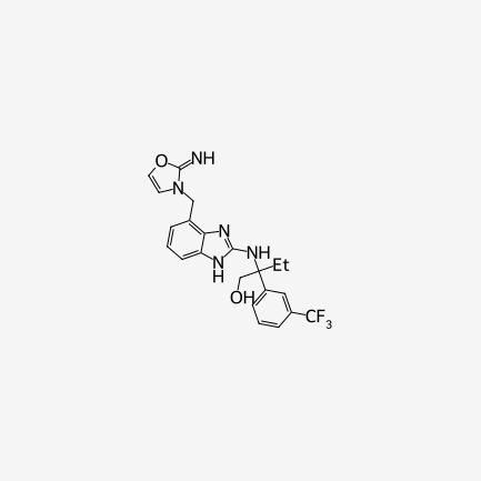 CCC(CO)(Nc1nc2c(Cn3ccoc3=N)cccc2[nH]1)c1cccc(C(F)(F)F)c1